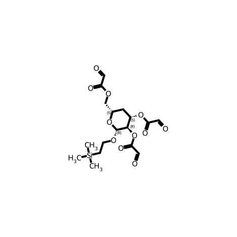 C[Si](C)(C)CCO[C@@H]1O[C@H](COC(=O)C=O)C[C@H](OC(=O)C=O)[C@H]1OC(=O)C=O